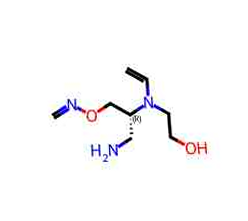 C=CN(CCO)[C@H](CN)CON=C